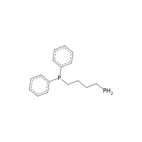 PCCCCP(c1ccccc1)c1ccccc1